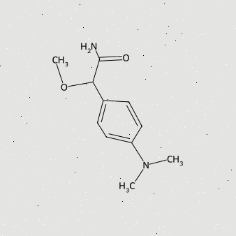 COC(C(N)=O)c1ccc(N(C)C)cc1